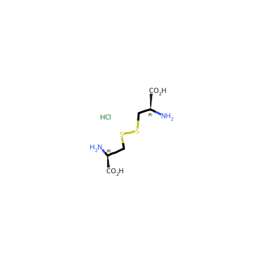 Cl.N[C@@H](CSSC[C@H](N)C(=O)O)C(=O)O